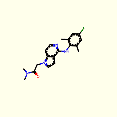 Cc1cc(F)cc(C)c1Nc1nccc2c1ccn2CC(=O)N(C)C